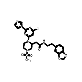 CS(=O)(=O)N1CCN(c2cc(Cl)nc(-n3ccnc3)n2)C(CC(=O)NCCc2ccc3c(c2)OCO3)C1